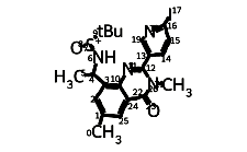 Cc1cc(C(C)N[S+]([O-])C(C)(C)C)c2nc(-c3ccc(I)nc3)n(C)c(=O)c2c1